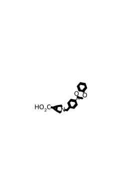 O=C(O)C1C2CN(Cc3ccc([C@H]4COc5ccccc5O4)cc3)CC21